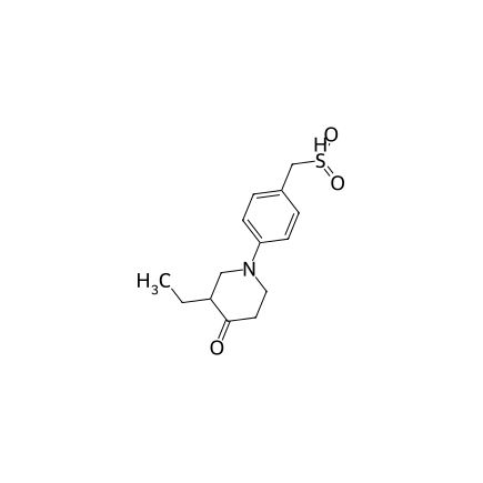 CCC1CN(c2ccc(C[SH](=O)=O)cc2)CCC1=O